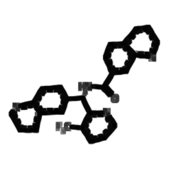 O=C(N[C@@H](c1ccc2ncccc2c1)c1ncccc1C(F)(F)F)c1ccc2cccnc2c1